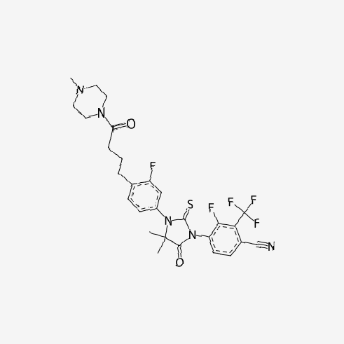 CN1CCN(C(=O)CCCc2ccc(N3C(=S)N(c4ccc(C#N)c(C(F)(F)F)c4F)C(=O)C3(C)C)cc2F)CC1